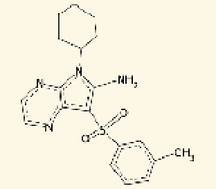 Cc1cccc(S(=O)(=O)c2c(N)n(C3CCCCC3)c3nccnc23)c1